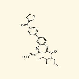 CCCN(C(=O)C1=Cc2ccc(-c3ccc(C(=O)N4CCCC4)cc3)cc2N=C(N=NN)C1)C(C)CC